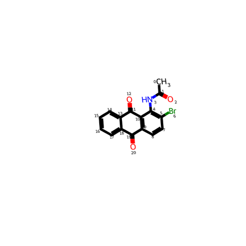 CC(=O)Nc1c(Br)ccc2c1C(=O)c1ccccc1C2=O